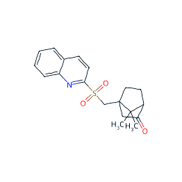 CC1(C)C2CCC1(CS(=O)(=O)c1ccc3ccccc3n1)CC2=O